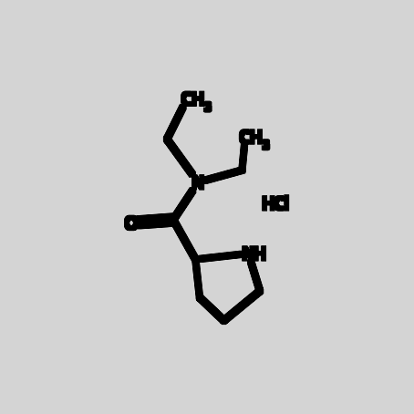 CCN(CC)C(=O)C1CCCN1.Cl